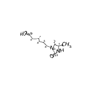 CC1CN(CCCCCCO)C(=O)N1